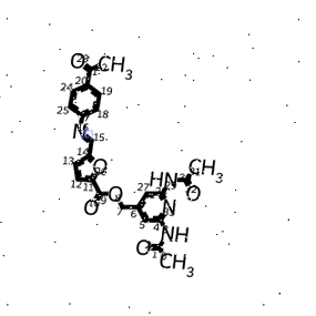 CC(=O)Nc1cc(COC(=O)c2ccc(/C=N/c3ccc(C(C)=O)cc3)o2)cc(NC(C)=O)n1